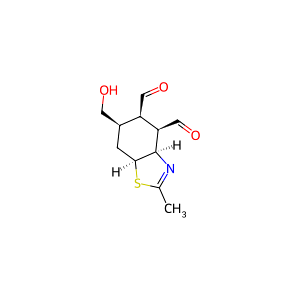 CC1=N[C@@H]2[C@H](C=O)[C@H](C=O)[C@H](CO)C[C@@H]2S1